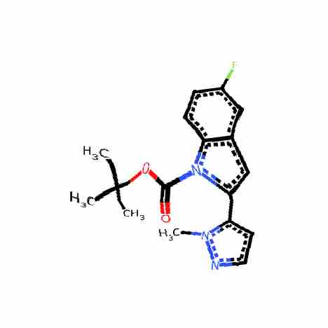 Cn1nccc1-c1cc2cc(F)ccc2n1C(=O)OC(C)(C)C